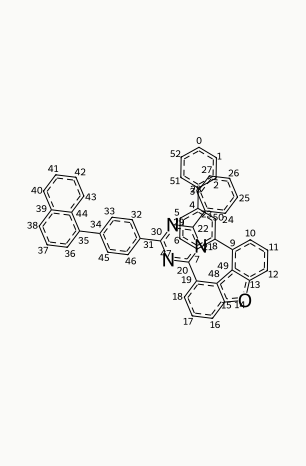 c1ccc(-c2cccc(-c3cccc4oc5cccc(-c6nc(-c7ccccc7)nc(-c7ccc(-c8cccc9ccccc89)cc7)n6)c5c34)c2)cc1